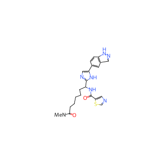 CNC(=O)CCCCCC(NC(=O)c1cncs1)c1ncc(-c2ccc3[nH]ncc3c2)[nH]1